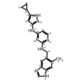 Cc1cc2[nH]cnc2cc1CNc1nccc(Nc2cc(C3CC3)[nH]n2)n1